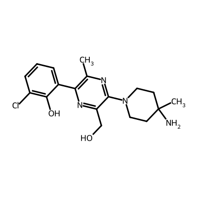 Cc1nc(N2CCC(C)(N)CC2)c(CO)nc1-c1cccc(Cl)c1O